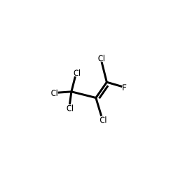 FC(Cl)=C(Cl)C(Cl)(Cl)Cl